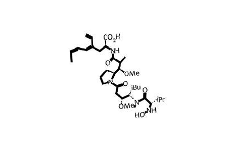 C=C/C(=C\C=C/C)C[C@H](NC(=O)C(C)[C@@H](OC)[C@@H]1CCCN1C(=O)C[C@@H](OC)[C@H]([C@@H](C)CC)N(C)C(=O)[C@@H](NO)C(C)C)C(=O)O